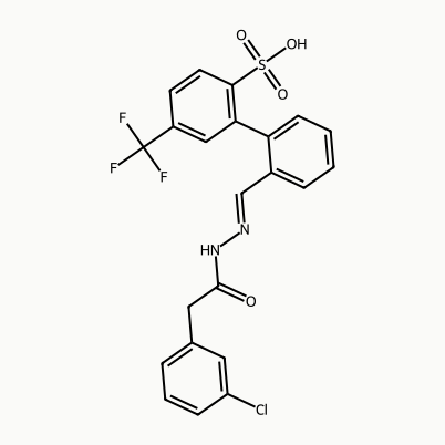 O=C(Cc1cccc(Cl)c1)NN=Cc1ccccc1-c1cc(C(F)(F)F)ccc1S(=O)(=O)O